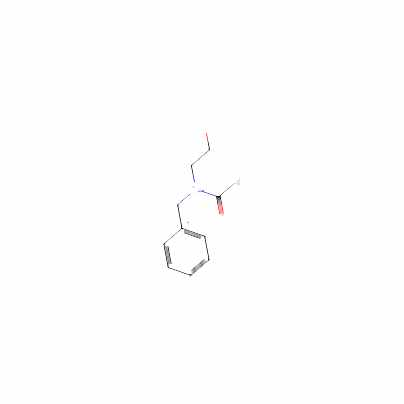 CC(C)C(=O)N(CCO)Cc1ccccc1